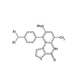 CCC(CC)c1ccc(-c2c(OC)cc(C)c3[nH]c(=O)c4sccc4c23)cc1